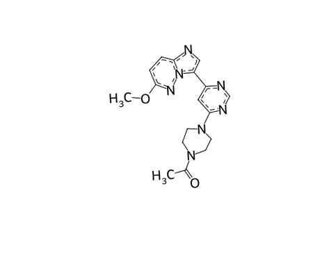 COc1ccc2ncc(-c3cc(N4CCN(C(C)=O)CC4)ncn3)n2n1